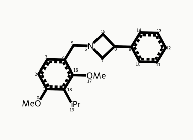 COc1ccc(CN2CC(c3ccccc3)C2)c(OC)c1C(C)C